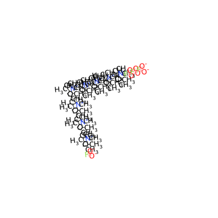 CC1=[N+](C)c2c(ccc(C)c2C)C1(C)C.CC1=[N+](C)c2c(ccc(C)c2C)C1(C)C.CC1=[N+](C)c2c(ccc(C)c2C)C1(C)C.CC1=[N+](C)c2c(ccc(C)c2C)C1(C)C.CC1=[N+](C)c2c(ccc(C)c2C)C1(C)C.CC1=[N+](C)c2c(ccc(C)c2C)C1(C)C.CC1=[N+](C)c2c(ccc(C)c2C)C1(C)C.CC1=[N+](C)c2c(ccc(C)c2C)C1(C)C.[O-]B([O-])F.[O-]B([O-])F.[O-]B([O-])F.[O-]B([O-])F